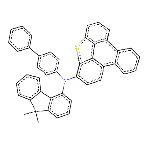 CC1(C)c2ccccc2-c2c(N(c3ccc(-c4ccccc4)cc3)c3ccc4c5ccccc5c5cccc6sc3c4c65)cccc21